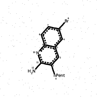 CCCCCc1cc2cc(Br)ccc2nc1N